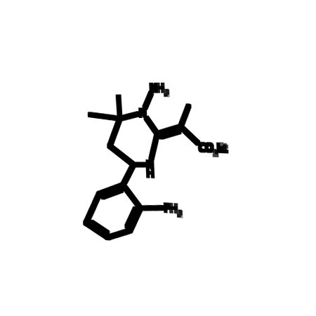 CCOC(=O)/C(C)=C1\NC(c2ccccc2P)CC(C)(C)N1N